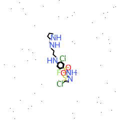 O=S(=O)(Nc1ncc(Cl)s1)c1cc(Cl)c(NCCCCNC[C@@H]2CCCN2)cc1F